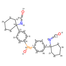 O=C=NC1(c2ccc([PH](=O)c3ccc(C4(N=C=O)CCCCC4)cc3)cc2)CCCCC1